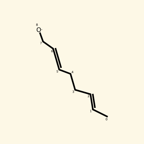 CC=CCCC=CC[O]